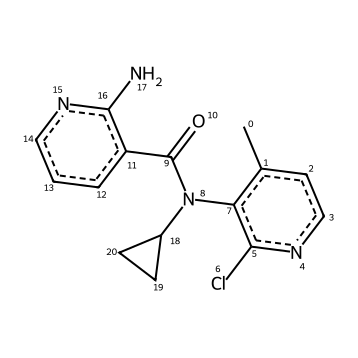 Cc1ccnc(Cl)c1N(C(=O)c1cccnc1N)C1CC1